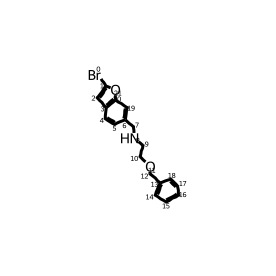 Brc1cc2ccc(CNCCOCc3ccccc3)cc2o1